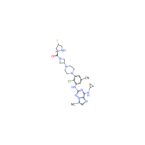 N#Cc1cc(Nc2nc(NC3CC3)c3ncc(C#N)n3n2)c(Cl)c(N2CCN(C3CN(C(=O)[C@H]4CC(F)CN4)C3)CC2)c1